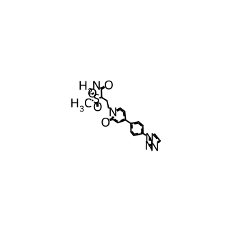 CS(=O)(=O)C(CCn1ccc(-c2ccc(-n3ccnn3)cc2)cc1=O)C(N)=O